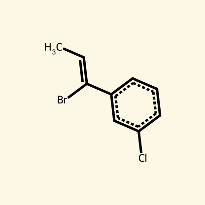 CC=C(Br)c1cccc(Cl)c1